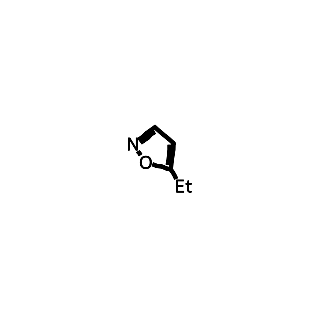 CCc1ccno1